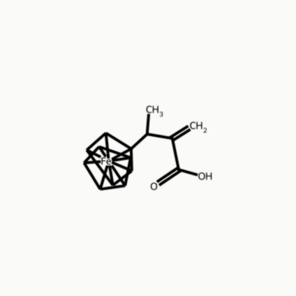 C=C(C(=O)O)C(C)[C]12[CH]3[CH]4[CH]5[CH]1[Fe]45321678[CH]2[CH]1[CH]6[CH]7[CH]28